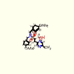 COc1ccc(CN(Cc2ccc(OC)cc2)S(=O)(=O)[C@H](CO)Cc2cnc(C)cn2)cc1